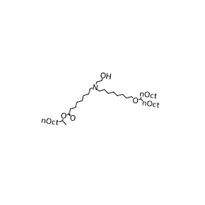 CCCCCCCCC(C)OC(=O)CCCCCCCN(CCO)CCCCCCCCOC(CCCCCCCC)CCCCCCCC